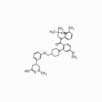 COCC(CC(=O)O)c1cccc(OCC2CCN(c3cc(OC)ccc3C(=O)N(CC(C)(C)C)c3cccc(C)n3)CC2)c1